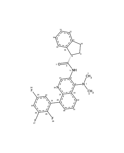 CN(C)c1c(NC(=O)[C@H]2CCc3ccccc32)cnc2c(-c3cc(F)cc(F)c3F)cccc12